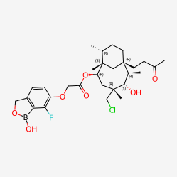 CC(=O)CC[C@]12CC[C@@H](C)[C@](C)(C1)[C@H](OC(=O)COc1ccc3c(c1F)B(O)OC3)C[C@@](C)(CCl)[C@@H](O)[C@@H]2C